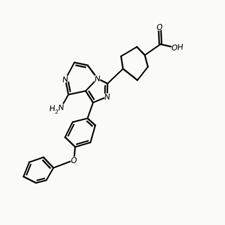 Nc1nccn2c(C3CCC(C(=O)O)CC3)nc(-c3ccc(Oc4ccccc4)cc3)c12